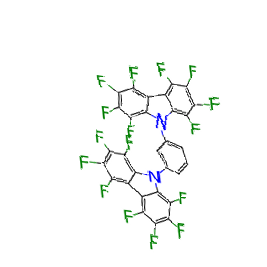 Fc1c(F)c(F)c2c(c1F)c1c(F)c(F)c(F)c(F)c1n2-c1cccc(-n2c3c(F)c(F)c(F)c(F)c3c3c(F)c(F)c(F)c(F)c32)c1